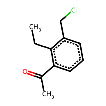 CCc1c(CCl)cccc1C(C)=O